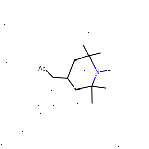 CC(=O)CC1CC(C)(C)N(C)C(C)(C)C1